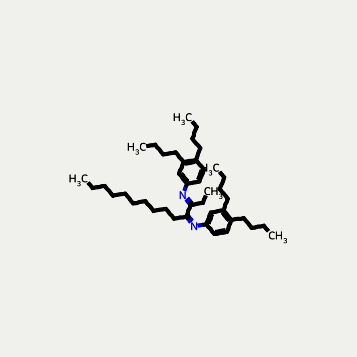 CCCCCCCCCCC(=Nc1ccc(CCCC)c(CCCC)c1)C(CC)=Nc1ccc(CCCC)c(CCCC)c1